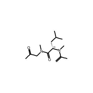 C=C(C)N(C)[C@@H](CC(C)C)C(=O)N(C)CC(C)=O